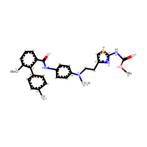 COc1cccc(C(=O)Nc2ccc(N(CCc3csc(NC(=O)OC(C)(C)C)n3)C(=O)O)cc2)c1-c1ccc(C(F)(F)F)cc1